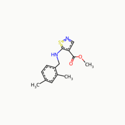 COC(=O)c1cnsc1NCc1ccc(C)cc1C